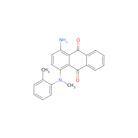 Cc1ccccc1N(C)c1ccc(N)c2c1C(=O)c1ccccc1C2=O